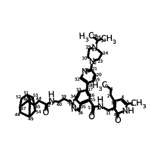 CCCc1cc(C)[nH]c(=O)c1CNC(=O)c1cc(-c2ccc(N3CCN(C(C)C)CC3)nc2)cc2c1cnn2CCNC(=O)CC12CC3CC(CC(C3)C1)C2